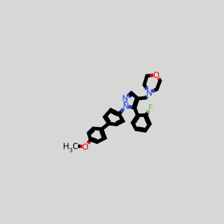 COc1ccc(-c2ccc(-n3ncc(CN4CCOCC4)c3-c3ccccc3F)cc2)cc1